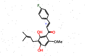 COc1cc(O)c(CC=C(C)C)c(O)c1C(=O)/C=C/c1ccc(F)cc1